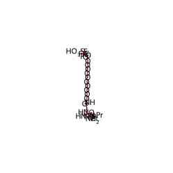 CCCN(OCC)C(=O)C1=CC(NCCCCCC(=O)NCCOCCOCCOCCOCCOCCOCCOCCOCCOCCOCCC(=O)Oc2c(F)c(F)c(S(=O)(=O)O)c(F)c2F)=C(C=N)N=C(N)C1